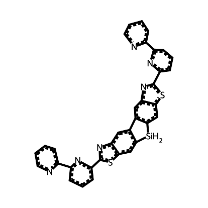 c1ccc(-c2cccc(-c3nc4cc5c(cc4s3)[SiH2]c3cc4sc(-c6cccc(-c7ccccn7)n6)nc4cc3-5)n2)nc1